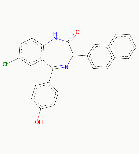 O=C1Nc2ccc(Cl)cc2C(c2ccc(O)cc2)=NC1c1ccc2ccccc2c1